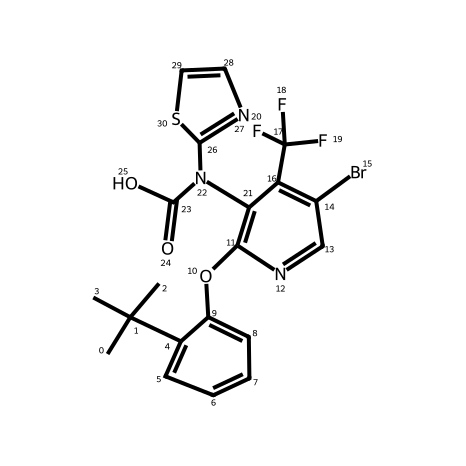 CC(C)(C)c1ccccc1Oc1ncc(Br)c(C(F)(F)F)c1N(C(=O)O)c1nccs1